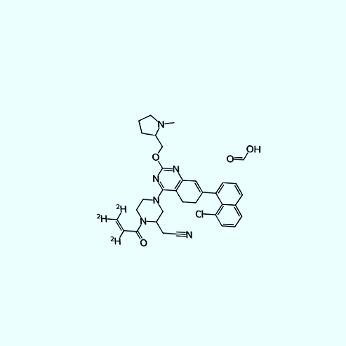 O=CO.[2H]C([2H])=C([2H])C(=O)N1CCN(c2nc(OCC3CCCN3C)nc3c2CCC(c2cccc4cccc(Cl)c24)=C3)CC1CC#N